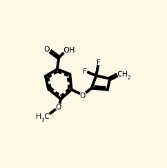 C=C1C=C(Oc2cc(C(=O)O)ccc2OC)C1(F)F